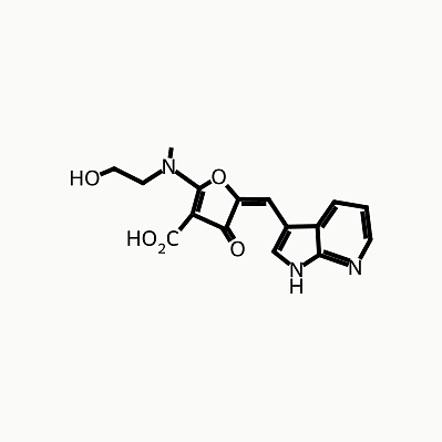 CN(CCO)C1=C(C(=O)O)C(=O)C(=Cc2c[nH]c3ncccc23)O1